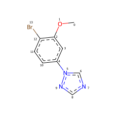 COc1cc(-n2cncn2)ccc1Br